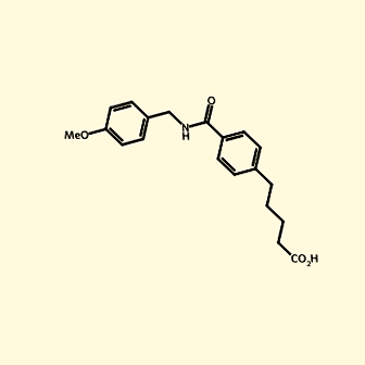 COc1ccc(CNC(=O)c2ccc(CCCCC(=O)O)cc2)cc1